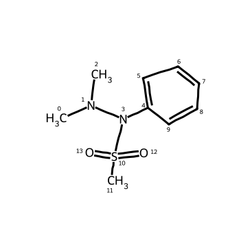 CN(C)N(c1ccccc1)S(C)(=O)=O